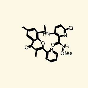 CONC(=O)c1nc(Cl)ccc1NC(C)c1cc(C)cc2c(=O)c(C)c(-c3ccccn3)oc12